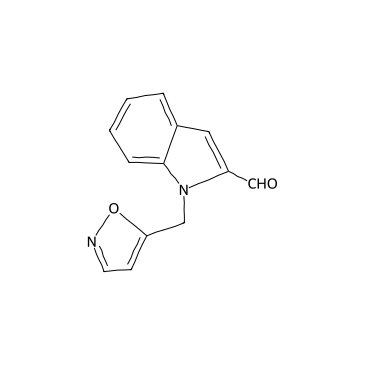 O=Cc1cc2ccccc2n1Cc1ccno1